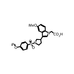 COc1ccc2c(c1)c(C1CCN(S(=O)(=O)c3ccc(OC(C)C)cc3)C1)cn2CC(=O)O